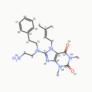 CC(C)=CCn1c(N(CCN)CCc2ccccc2)nc2c1c(=O)n(C)c(=O)n2C